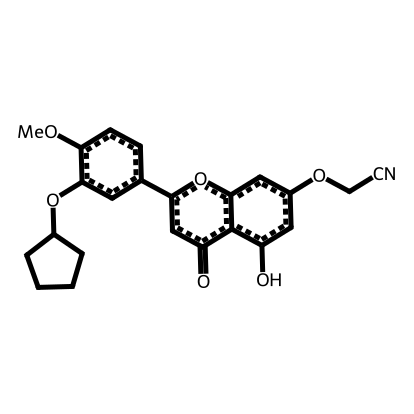 COc1ccc(-c2cc(=O)c3c(O)cc(OCC#N)cc3o2)cc1OC1CCCC1